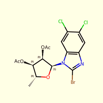 CC(=O)O[C@@H]1[C@H](OC(C)=O)[C@@H](C)O[C@@H]1n1c(Br)nc2cc(Cl)c(Cl)cc21